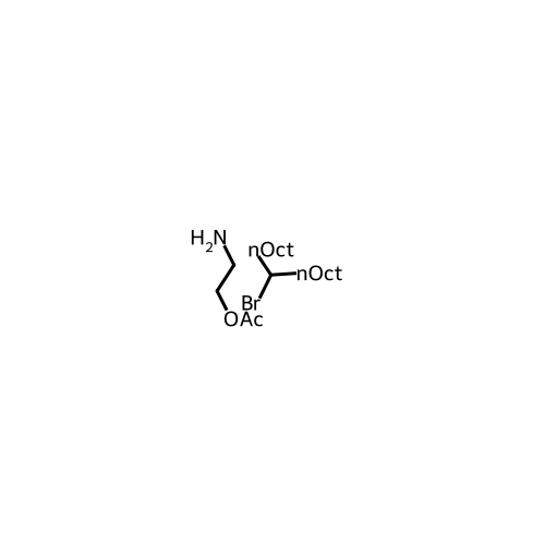 CC(=O)OCCN.CCCCCCCCC(Br)CCCCCCCC